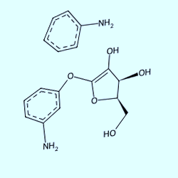 Nc1cccc(OC2=C(O)[C@@H](O)[C@@H](CO)O2)c1.Nc1ccccc1